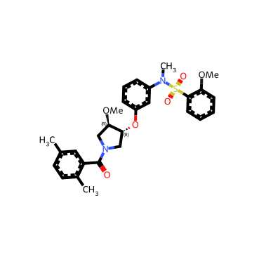 COc1ccccc1S(=O)(=O)N(C)c1cccc(O[C@@H]2CN(C(=O)c3cc(C)ccc3C)C[C@H]2OC)c1